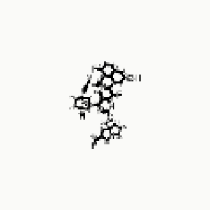 C#Cc1c(F)ccc2cc(O)cc(-c3ncc4c(N5C[C@@H]6CC[C@](C#CC)(C5)N6)nc(OC[C@@]56CCCN5C/C(=C\F)C6)nc4c3F)c12